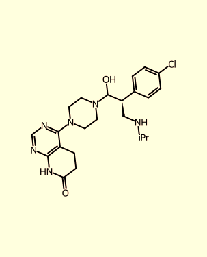 CC(C)NC[C@H](c1ccc(Cl)cc1)C(O)N1CCN(c2ncnc3c2CCC(=O)N3)CC1